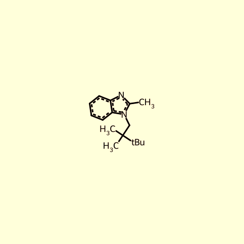 Cc1nc2ccccc2n1CC(C)(C)C(C)(C)C